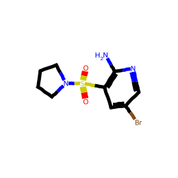 Nc1ncc(Br)cc1S(=O)(=O)N1C[CH]CC1